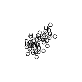 CC(=O)OC(CCOC(O)C(OC(=O)c1ccccc1)C(OC(=O)c1ccccc1)C(CCOC(=O)c1ccccc1)OC(=O)c1ccccc1)C(OC(O)C(OC(=O)c1ccccc1)C(OC(=O)c1ccccc1)C(CCOC(=O)c1ccccc1)OC(=O)c1ccccc1)C(OC(=O)c1ccccc1)C(O)O